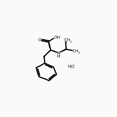 CC(C)NC(Cc1ccccc1)C(=O)O.Cl